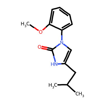 COc1ccccc1-n1cc(CC(C)C)[nH]c1=O